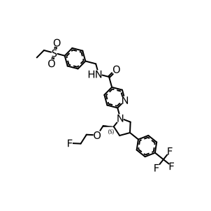 CCS(=O)(=O)c1ccc(CNC(=O)c2ccc(N3CC(c4ccc(C(F)(F)F)cc4)C[C@H]3COCCF)nc2)cc1